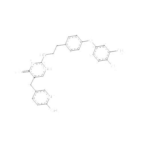 Cc1ccc(Cc2c[nH]c(NCCc3ccc(Oc4ccc(Cl)c(C)c4)cc3)nc2=O)cn1